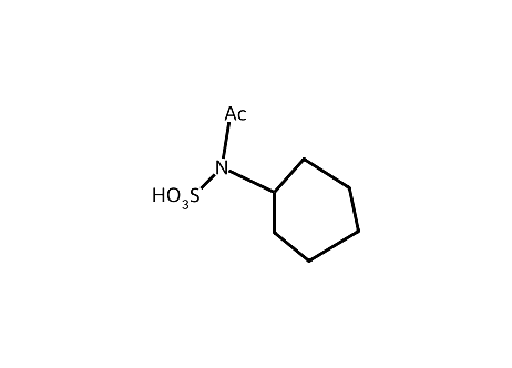 CC(=O)N(C1CCCCC1)S(=O)(=O)O